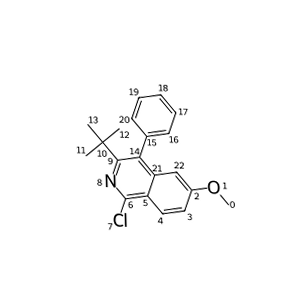 COc1ccc2c(Cl)nc(C(C)(C)C)c(-c3ccccc3)c2c1